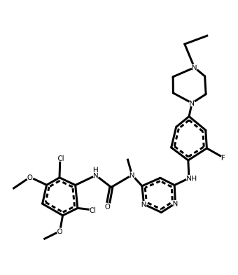 CCN1CCN(c2ccc(Nc3cc(N(C)C(=O)Nc4c(Cl)c(OC)cc(OC)c4Cl)ncn3)c(F)c2)CC1